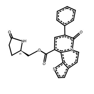 O=C1CC[C@H](COC(=O)c2cc(-c3ccccc3)c(=O)n3ccc4ccsc4c23)N1